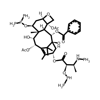 CC(=O)O[C@H]1C2=C(C)[C@@H](OC(=O)[C@H](OPP)[C@H](C)NP)C[C@@](O)([C@@H](OC(=O)c3ccccc3)[C@@H]3[C@]4(OC(C)=O)CO[C@@H]4C[C@H](OP(P)P)[C@@]3(C)[C@H]1O)C2(C)C